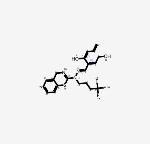 C=C\C=C(O)/C(=C\CO)/C=N/N(CCCC(F)(F)F)C1=NCc2ccccc2S1